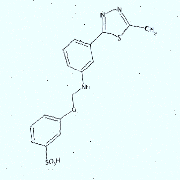 Cc1nnc(-c2cccc(NCOc3cccc(S(=O)(=O)O)c3)c2)s1